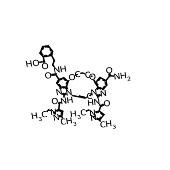 CCn1nc(C)cc1C(=O)Nc1nc2cc(C(N)=O)cc3c2n1C/C=C/Cn1c(NC(=O)c2cc(C)nn2CC)nc2cc(C(=O)NCCc4ccccc4C(=O)O)cc(c21)OCCCO3